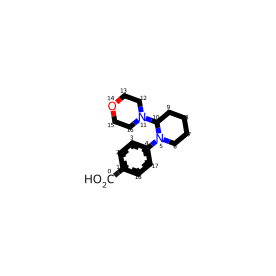 O=C(O)c1ccc(N2CCCCC2N2CCOCC2)cc1